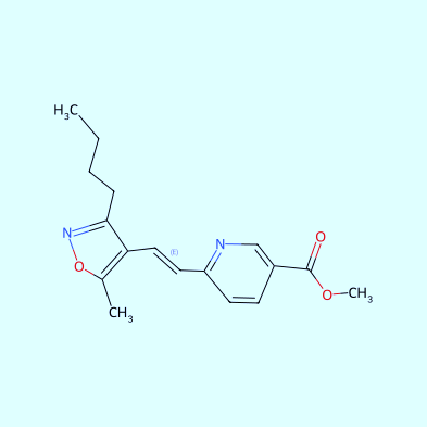 CCCCc1noc(C)c1/C=C/c1ccc(C(=O)OC)cn1